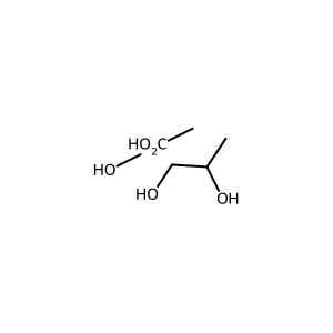 CC(=O)O.CC(O)CO.CO